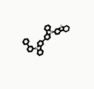 c1ccc(-c2cccc(-n3c4ccccc4c4cc(-c5ccc6c(c5)c5ccccc5n6-c5ccc6c7c(sc6c5)CCCC7)ccc43)c2)cc1